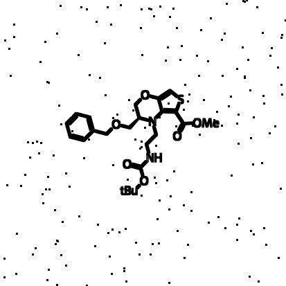 COC(=O)c1scc2c1N(CCNC(=O)OC(C)(C)C)[C@@H](COCc1ccccc1)CO2